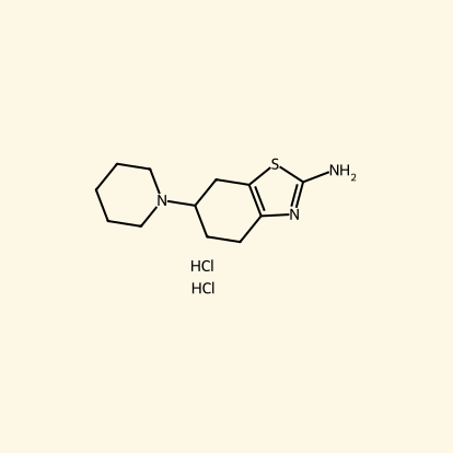 Cl.Cl.Nc1nc2c(s1)CC(N1CCCCC1)CC2